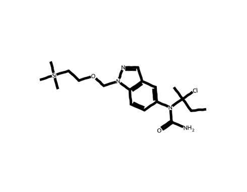 CCC(C)(Cl)N(C(N)=O)c1ccc2c(cnn2COCC[Si](C)(C)C)c1